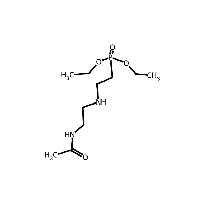 CCOP(=O)(CCNCCNC(C)=O)OCC